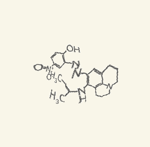 CCC(C)Nc1c(N=Nc2cc([N+](=O)[O-])ccc2O)cc2c3c1CCCN3CCC2